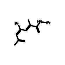 C=C(C)/C=C(\C=C(/C)C(=C)NC(C)C)C(C)C